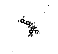 O=C(Nc1n[nH]c2ccc(Cc3cc(F)cc(F)c3)cc12)c1ccc([N+](=O)[O-])cc1N(C(=O)C(F)(F)F)C1CCOCC1